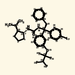 CN(C)[C@@H]1CCC[C@H]1NC(=O)N[C@@](Cc1ccccc1)(c1cccc(OC(F)(F)C(F)F)c1)c1ccc(I)cn1